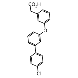 O=C(O)Cc1cccc(Oc2cccc(-c3ccc(Cl)cc3)c2)c1